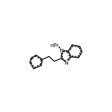 CCCn1c(CCc2ccccc2)nc2ccccc21